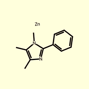 Cc1nc(-c2ccccc2)n(C)c1C.[Zn]